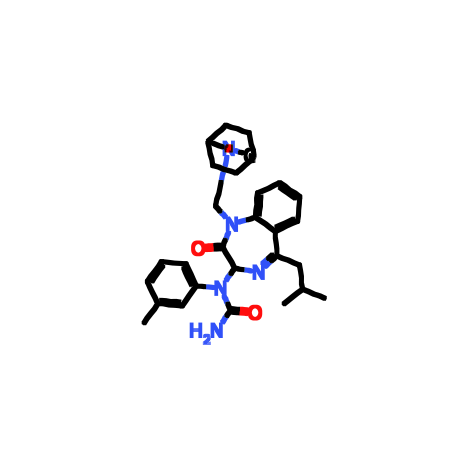 Cc1cccc(N(C(N)=O)C2N=C(CC(C)C)c3ccccc3N(CN3CC4CCC(CC4)C3)C2=O)c1